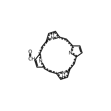 C1=Cc2cc3ccc(cc4nc(cc5ccc(cc1n2)[nH]5)C=C4)[nH]3.C=O